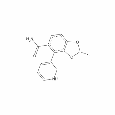 CC1Oc2ccc(C(N)=O)c(C3=CC=CNC3)c2O1